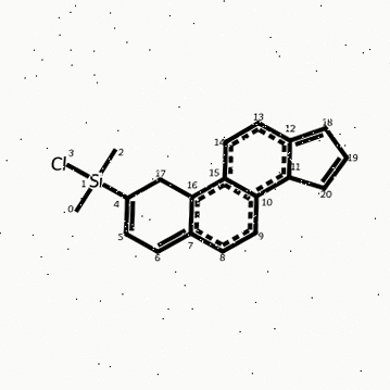 C[Si](C)(Cl)C1=CC=c2ccc3c4c(ccc3c2C1)=CC=C4